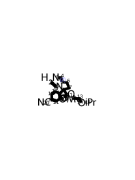 C=CN1/C(=C\N)CCC1(C(=O)OCCOC(C)C)c1ccc(C#N)cc1OC